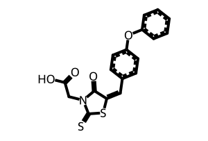 O=C(O)CN1C(=O)/C(=C\c2ccc(Oc3ccccc3)cc2)SC1=S